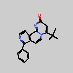 CC(C)(C)c1cc(=O)nc2c3ccnc(-c4ccccc4)c3ccn12